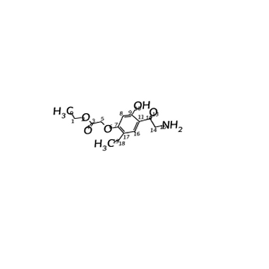 CCOC(=O)COc1cc(O)c(C(=O)CN)cc1CC